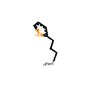 CCCCCCCCc1ccc[pH]1